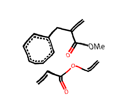 C=C(Cc1ccccc1)C(=O)OC.C=COC(=O)C=C